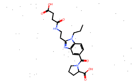 CCCn1c(CCNC(=O)CCC(=O)O)nc2cc(C(=O)N3CCCC3C(=O)O)ccc21